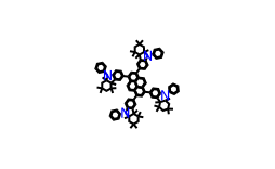 CC1(C)CC(C)(C)C2(C)c3cc(-c4cc(-c5ccc6c(c5)C5(C)C(C)(C)CC(C)(C)CC5(C)N6c5ccccc5)c5ccc6c(-c7ccc8c(c7)C7(C)C(C)(C)CC(C)(C)CC7(C)N8c7ccccc7)cc(-c7ccc8c(c7)C7(C)C(C)(C)CC(C)(C)CC7(C)N8c7ccccc7)c7ccc4c5c76)ccc3N(c3ccccc3)C2(C)C1